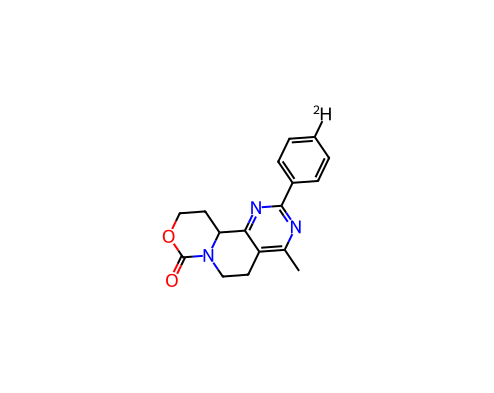 [2H]c1ccc(-c2nc(C)c3c(n2)C2CCOC(=O)N2CC3)cc1